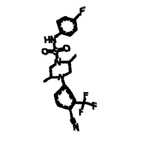 CC1CN(S(=O)(=O)Nc2ccc(F)cc2)C(C)CN1c1ccc(C#N)c(C(F)(F)F)c1